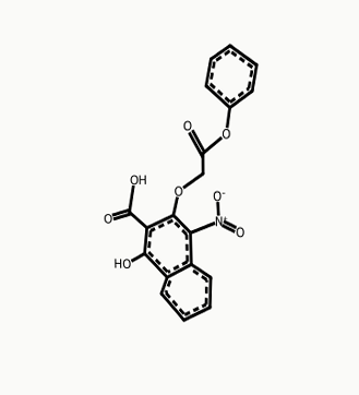 O=C(COc1c(C(=O)O)c(O)c2ccccc2c1[N+](=O)[O-])Oc1ccccc1